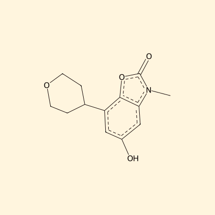 Cn1c(=O)oc2c(C3CCOCC3)cc(O)cc21